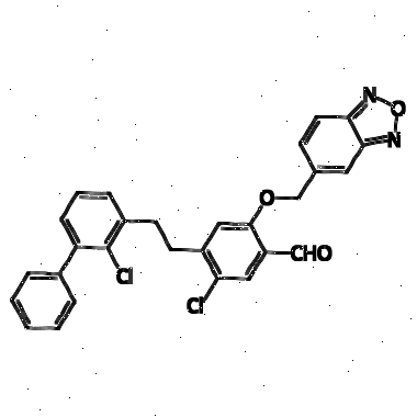 O=Cc1cc(Cl)c(CCc2cccc(-c3ccccc3)c2Cl)cc1OCc1ccc2nonc2c1